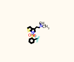 CN(C)CCc1cn(S(=O)(=O)c2ccccc2C(F)(F)F)c2sccc12